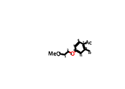 COCCOc1ccc(C(C)=O)c(C)c1